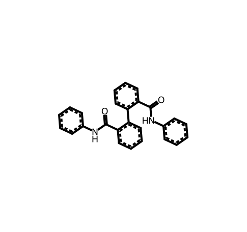 O=C(Nc1ccccc1)c1ccccc1-c1ccccc1C(=O)Nc1ccccc1